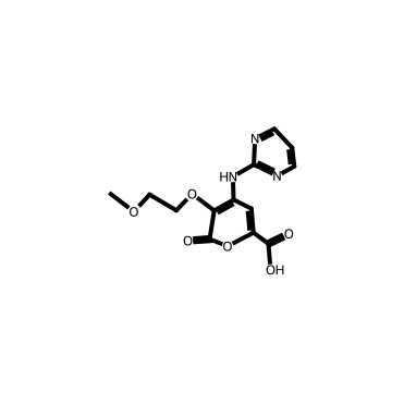 COCCOc1c(Nc2ncccn2)cc(C(=O)O)oc1=O